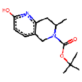 CC1Cc2nc(O)ccc2CN1C(=O)OC(C)(C)C